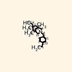 C=Cc1ccc(CN2C[C@@]3(C)CC(C)(CO)C[C@@](C)(C2)C3)cc1